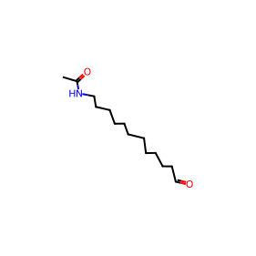 CC(=O)NCCCCCCCCCCCC=O